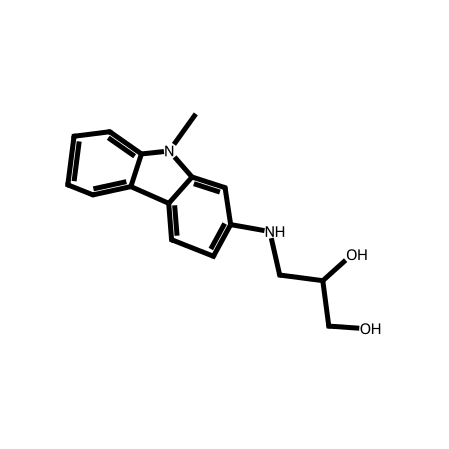 Cn1c2ccccc2c2ccc(NCC(O)CO)cc21